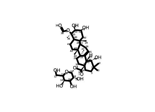 CC1(C)CC[C@]2(C(=O)O[C@H]3OC(CO)[C@H](O)C(O)[C@H]3O)CC[C@]3(C)C(=CCC4[C@@]5(C)C[C@@H](O)[C@H](O)[C@](C)(OC=O)C5CC[C@]43C)[C@@H]2[C@@H]1O